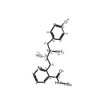 CC(C)(C)NC(=O)c1cccnc1C[C@H](O)[C@H](N)Cc1ccc(Cl)cc1